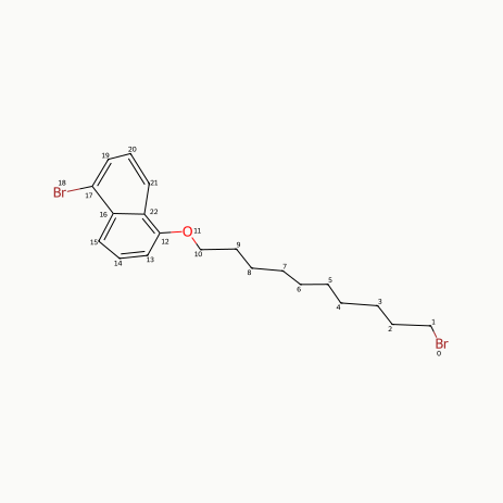 BrCCCCCCCCCCOc1cccc2c(Br)cccc12